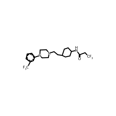 O=C(CC(F)(F)F)NC1CCC(CCN2CCN(c3cccc(C(F)(F)F)c3)CC2)CC1